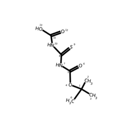 CC(C)(C)OC(=O)NC(=S)NC(=O)O